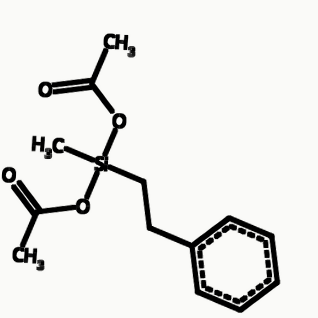 CC(=O)O[Si](C)(CCc1ccccc1)OC(C)=O